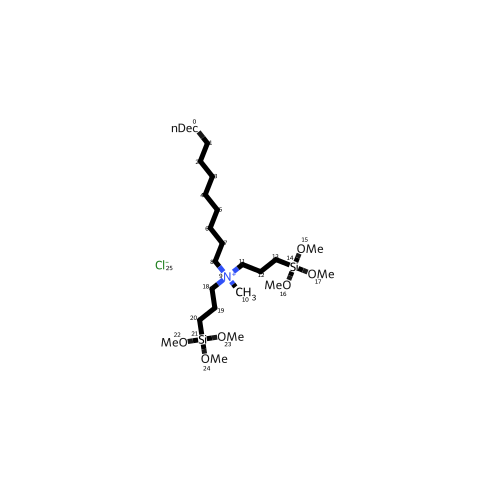 CCCCCCCCCCCCCCCCCC[N+](C)(CCC[Si](OC)(OC)OC)CCC[Si](OC)(OC)OC.[Cl-]